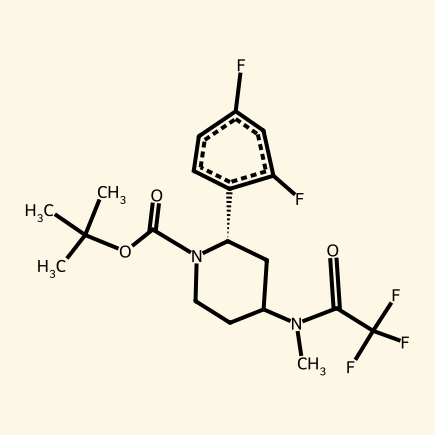 CN(C(=O)C(F)(F)F)C1CCN(C(=O)OC(C)(C)C)[C@H](c2ccc(F)cc2F)C1